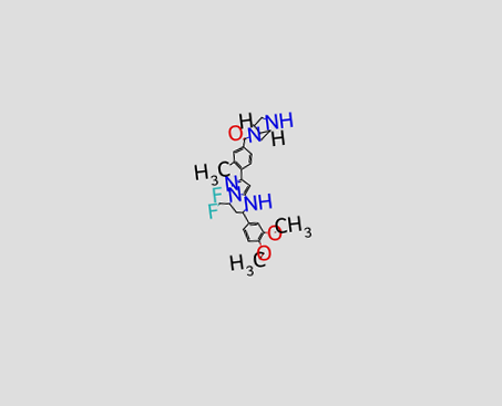 COc1ccc(C2CC(C(F)F)n3nc(-c4ccc(C(=O)N5C[C@@H]6C[C@H]5CN6)cc4C)cc3N2)cc1OC